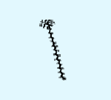 CC(C)(C)C(=O)OCCCCCCCCCCCCCCCCCCCCCCBr